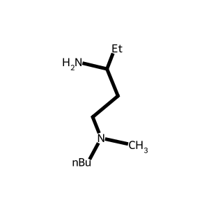 CCCCN(C)CCC(N)CC